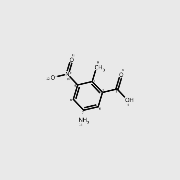 Cc1c(C(=O)O)cccc1[N+](=O)[O-].N